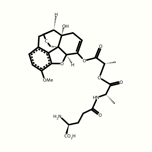 COc1ccc2c3c1O[C@@H]1C(OC(=O)[C@H](C)OC(=O)[C@H](C)NC(=O)CC[C@H](N)C(=O)O)=CC[C@]4(O)[C@@H](CCC[C@@]314)C2